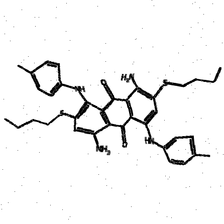 CCCCSc1cc(Nc2ccc(C)cc2)c2c(c1N)C(=O)c1c(Nc3ccc(C)cc3)c(SCCCC)cc(N)c1C2=O